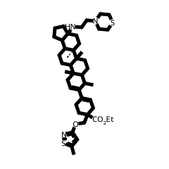 CCOC(=O)C1(COc2cc(C)sn2)CC=C(C2=CCC3(C)C(CCC4(C)C3CCC3C5CCCC5(NCCN5CCSCC5)CC[C@]34C)C2C)CC1